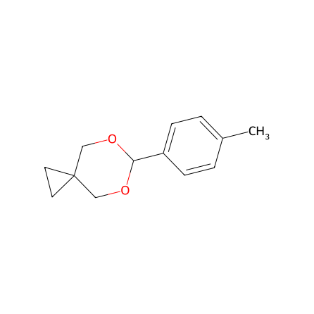 Cc1ccc(C2OCC3(CC3)CO2)cc1